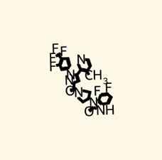 Cc1ccncc1-c1cc(C(=O)N2CCC(n3c(=O)[nH]c4ccc(F)c(F)c43)CC2)nn1-c1ccc(C(F)(F)F)c(F)c1